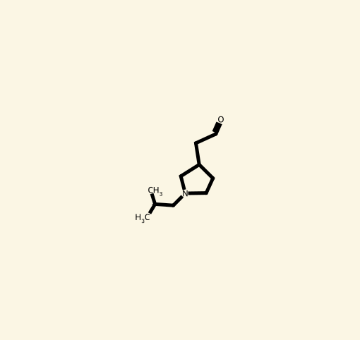 C[C](C)CN1CCC(CC=O)C1